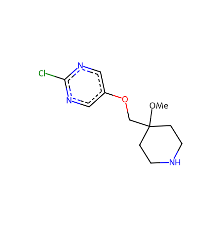 COC1(COc2cnc(Cl)nc2)CCNCC1